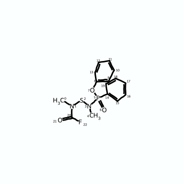 CN(SN(C)P(=O)(Oc1ccccc1)c1ccccc1)C(=O)F